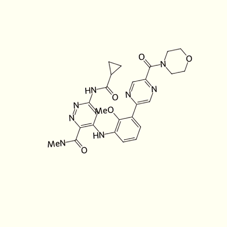 CNC(=O)c1nnc(NC(=O)C2CC2)cc1Nc1cccc(-c2cnc(C(=O)N3CCOCC3)cn2)c1OC